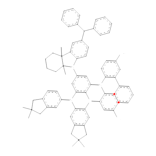 CC1(C)Cc2ccc(N3c4cc5c(cc4B4c6cc(C(C)(C)C)ccc6N(c6ccc(C(C)(C)C)cc6-c6ccccc6)c6cc(N7c8ccc(C(c9ccccc9)c9ccccc9)cc8C8(C)CCCCC78C)cc3c64)CC(C)(C)C5)cc2C1